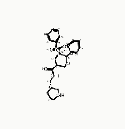 O=C(NC[C@H]1CCCNC1)C1CCC(c2ccccc2)N(S(=O)(=O)c2ccccc2)C1